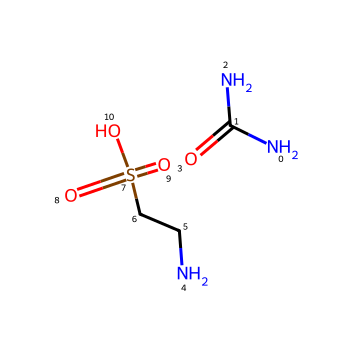 NC(N)=O.NCCS(=O)(=O)O